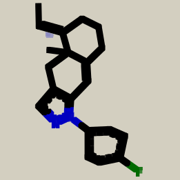 C/C=C1\CCCC2=Cc3c(cnn3-c3ccc(F)cc3)CC21C